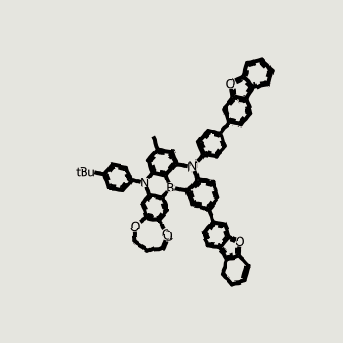 Cc1cc2c3c(c1)N(c1ccc(C(C)(C)C)cc1)c1cc4c(cc1B3c1cc(-c3ccc5c6c(oc5c3)C=CCC6)ccc1N2c1ccc(-c2ccc3c(c2)oc2ccccc23)cc1)OCCCO4